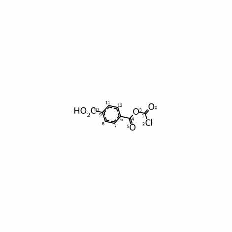 O=C(Cl)OC(=O)c1ccc(C(=O)O)cc1